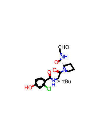 CC(C)(C)[C@H](NC(=O)c1ccc(O)cc1Cl)C(=O)N1CCC[C@H]1C(=O)NCC=O